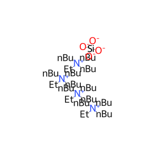 CCCC[N+](CC)(CCCC)CCCC.CCCC[N+](CC)(CCCC)CCCC.CCCC[N+](CC)(CCCC)CCCC.CCCC[N+](CC)(CCCC)CCCC.[O-][Si]([O-])([O-])[O-]